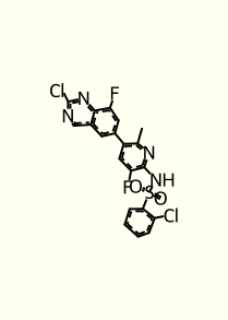 Cc1nc(NS(=O)(=O)c2ccccc2Cl)c(F)cc1-c1cc(F)c2nc(Cl)ncc2c1